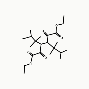 CCOC(=O)C(=O)C(C(C(=O)C(=O)OCC)C(C)(C)C(C)C)C(C)(C)C(C)C